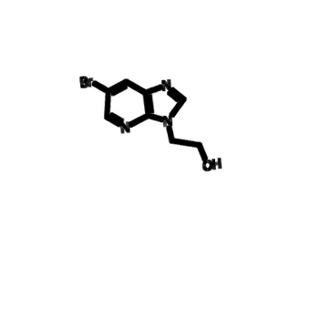 OCCn1cnc2cc(Br)cnc21